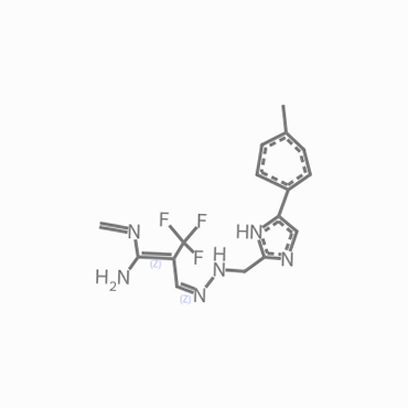 C=N/C(N)=C(/C=N\NCc1ncc(-c2ccc(C)cc2)[nH]1)C(F)(F)F